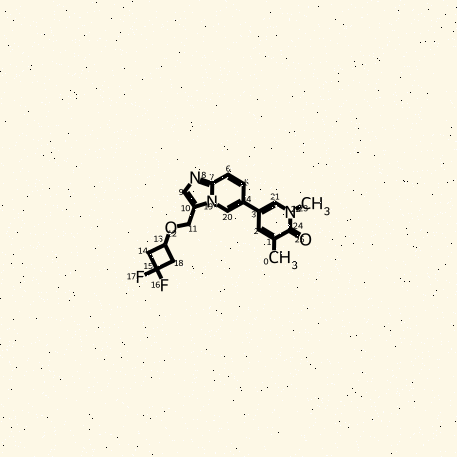 Cc1cc(-c2ccc3ncc(COC4CC(F)(F)C4)n3c2)cn(C)c1=O